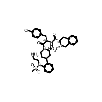 CS(=O)(=O)N(CCN)c1ccccc1C1CCN(C(=O)[C@@H](Cc2ccc(Cl)cc2)NC(=O)[C@@H]2Cc3ccccc3CN2C(=O)O)CC1